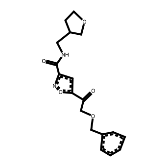 O=C(NCC1CCOC1)c1cc(C(=O)COCc2ccccc2)on1